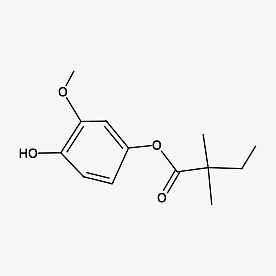 CCC(C)(C)C(=O)Oc1ccc(O)c(OC)c1